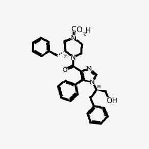 O=C(O)N1CCN(C(=O)c2ncn([C@@H](CO)Cc3ccccc3)c2-c2ccccc2)[C@H](Cc2ccccc2)C1